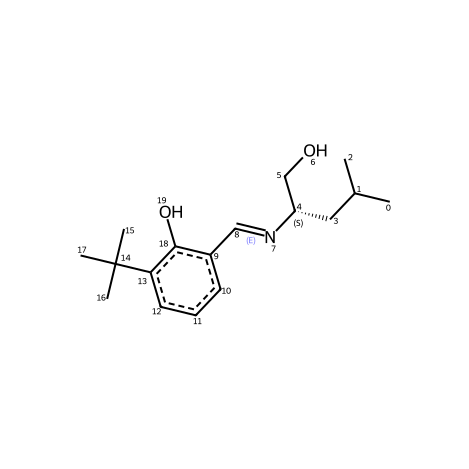 CC(C)C[C@@H](CO)/N=C/c1cccc(C(C)(C)C)c1O